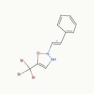 BrC(Br)(Br)C1=CNN(/C=C/c2ccccc2)O1